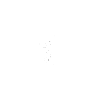 CCc1cccc2c1[nH]c1ccc(C(=O)c3ccc(C4COC(C)(C)O4)cc3C)cc12